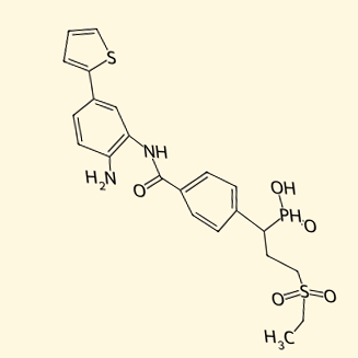 CCS(=O)(=O)CCC(c1ccc(C(=O)Nc2cc(-c3cccs3)ccc2N)cc1)[PH](=O)O